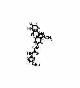 Cn1nc(C2CCC(=O)NC2=O)c2ccc(OCC(=O)Nc3nc(C(C)(C)C)cs3)cc21